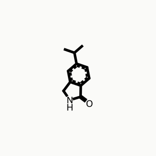 CC(C)c1ccc2c(c1)CNC2=O